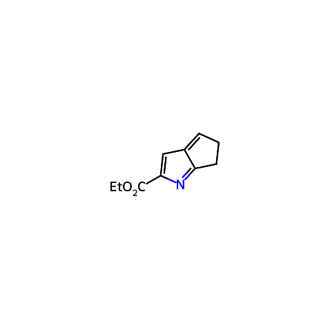 CCOC(=O)C1=CC2=CCCC2=N1